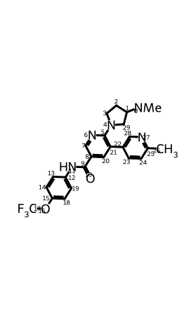 CNC1CCN(c2ncc(C(=O)Nc3ccc(OC(F)(F)F)cc3)cc2-c2ccc(C)nc2)C1